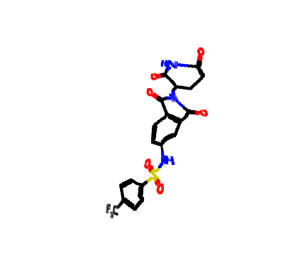 O=C1CCC(N2C(=O)c3ccc(NS(=O)(=O)c4ccc(C(F)(F)F)cc4)cc3C2=O)C(=O)N1